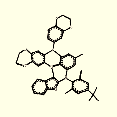 Cc1cc2c3c(c1)N(c1c(C)cc(C(C)(C)C)cc1C)c1oc4ccccc4c1B3c1cc3c(cc1N2c1ccc2c(c1)OCCO2)OCCO3